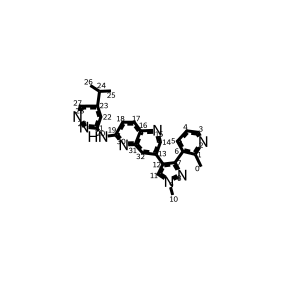 Cc1ncccc1-c1nn(C)cc1-c1cnc2ccc(Nc3cc(C(C)C)cnn3)nc2c1